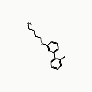 Cc1ccccc1-c1cccc(OCCCCN)c1